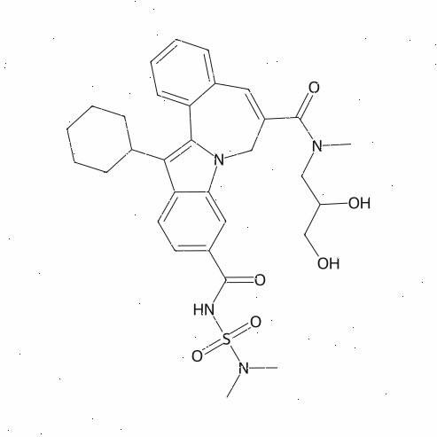 CN(CC(O)CO)C(=O)C1=Cc2ccccc2-c2c(C3CCCCC3)c3ccc(C(=O)NS(=O)(=O)N(C)C)cc3n2C1